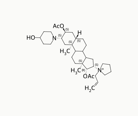 C=CC[N+]1([C@H]2CC3C4CC[C@H]5C[C@H](OC(C)=O)[C@@H](N6CCC(O)CC6)C[C@]5(C)C4CC[C@]3(C)[C@H]2OC(C)=O)CCCC1